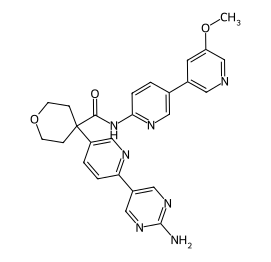 COc1cncc(-c2ccc(NC(=O)C3(c4ccc(-c5cnc(N)nc5)nc4)CCOCC3)nc2)c1